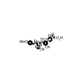 CCN(Cc1ccc(OC)cc1)c1nc(Nc2cc(C#N)cc(N3CCC(NC(=O)O)C(O)C3)c2Cl)nn2c(C#N)cnc12